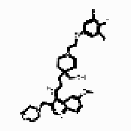 COc1ccc2ncc(CN3CCOCC3)c([C@H](F)CCC3(CO)CCN(CCOc4cc(F)c(F)c(F)c4)CC3)c2c1